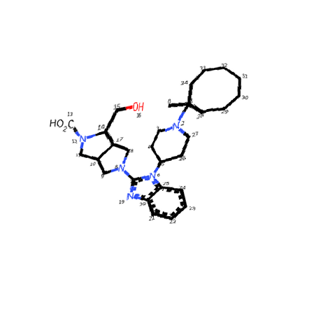 CC1(N2CCC(n3c(N4CC5CN(C(=O)O)C(CO)C5C4)nc4ccccc43)CC2)CCCCCCC1